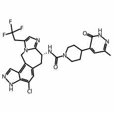 Cc1cc(C2CCN(C(=O)N[C@@H]3Cc4cc(Cl)c5[nH]ncc5c4Cn4c(CC(F)(F)F)cnc43)CC2)c(=O)[nH]n1